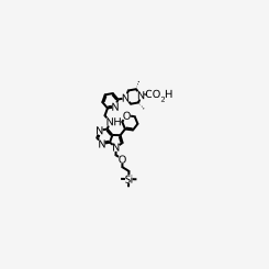 C[C@@H]1CN(c2cccc(CNc3ncnc4c3c(C3=CCCOC3)cn4COCC[Si](C)(C)C)n2)C[C@H](C)N1C(=O)O